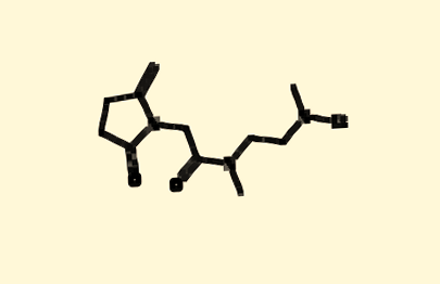 C=C1CCC(=O)N1CC(=O)N(C)CCN(C)CC